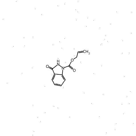 C=CCOC(=O)n1[nH]c(=O)c2ccccc21